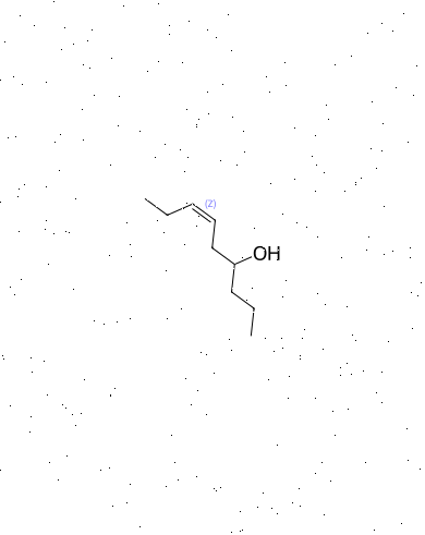 CC/C=C\CC(O)CCC